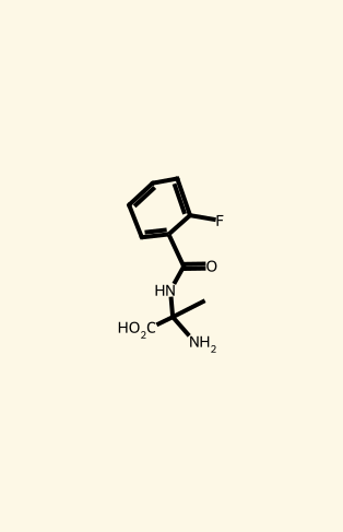 CC(N)(NC(=O)c1ccccc1F)C(=O)O